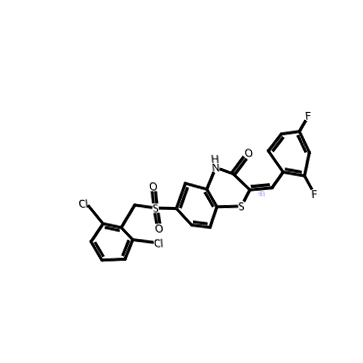 O=C1Nc2cc(S(=O)(=O)Cc3c(Cl)cccc3Cl)ccc2S/C1=C/c1ccc(F)cc1F